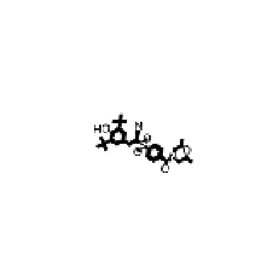 CC1CN(C(=O)c2ccc(S(=O)(=O)C(C#N)=Cc3cc(C(C)(C)C)c(O)c(C(C)(C)C)c3)cc2)CC(C)O1